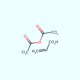 C=CC(=O)O.O=C(OC(=O)C(Cl)(Cl)Cl)C(Cl)(Cl)Cl